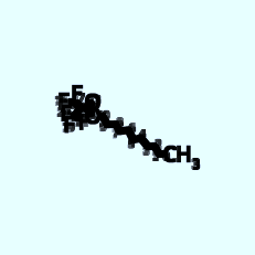 CCCCCCCCCCCOC(=O)C(=C(F)F)C(F)(F)F